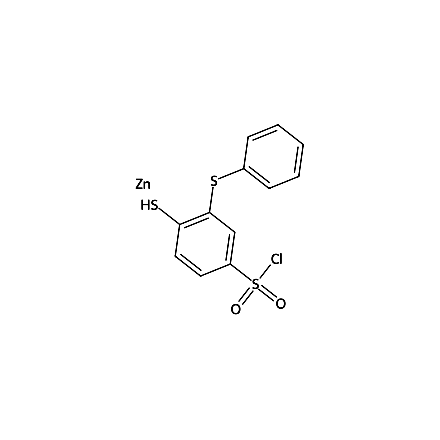 O=S(=O)(Cl)c1ccc(S)c(Sc2ccccc2)c1.[Zn]